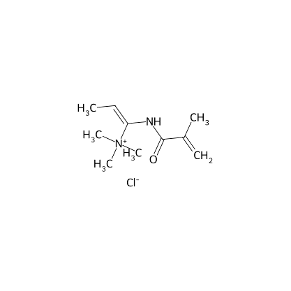 C=C(C)C(=O)NC(=CC)[N+](C)(C)C.[Cl-]